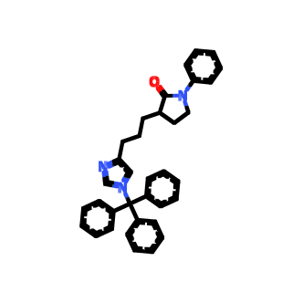 O=C1C(CCCc2cn(C(c3ccccc3)(c3ccccc3)c3ccccc3)cn2)CCN1c1ccccc1